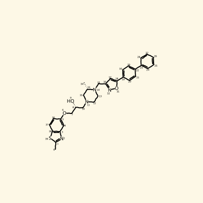 Cc1nc2cc(OC[C@H](O)CN3CCN(Cc4cc(-c5ccc(-c6ccccc6)cc5)on4)[C@@H](C)C3)ccc2s1